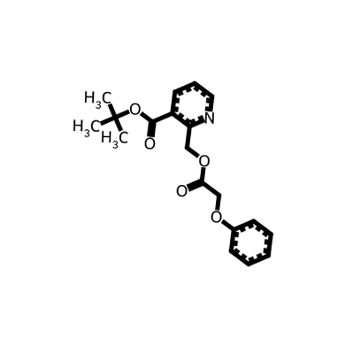 CC(C)(C)OC(=O)c1cccnc1COC(=O)COc1ccccc1